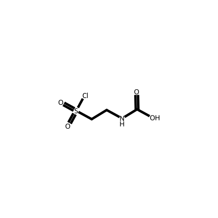 O=C(O)NCCS(=O)(=O)Cl